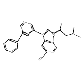 CC(CN(C)C)n1cc(-c2cncc(-c3ccccc3)c2)c2cc(Cl)ccc21